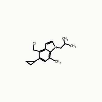 C[C](C)Cn1ccc2c(CCl)c(C3CC3)cc(C)c21